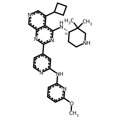 COc1cccc(Nc2cc(-c3nc(N[C@H]4CCNCC4(C)C)c4c(C5CCC5)cncc4n3)ccn2)n1